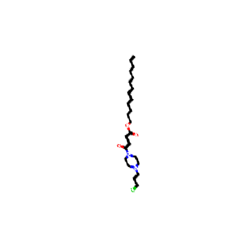 CCCCCCCCCCCCCOC(=O)CCC(=O)N1CCN(CCCCl)CC1